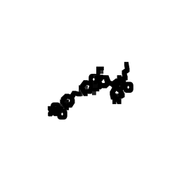 CCCCn1cc(-c2cc(F)c(OC3CCN(CCC4CCN(C(=O)OC(C)(C)C)CC4)CC3)c(F)c2)c2ccncc2c1=O